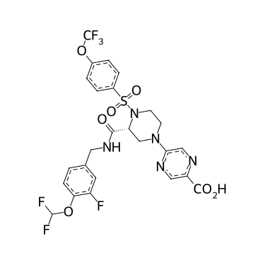 O=C(O)c1cnc(N2CCN(S(=O)(=O)c3ccc(OC(F)(F)F)cc3)[C@@H](C(=O)NCc3ccc(OC(F)F)c(F)c3)C2)cn1